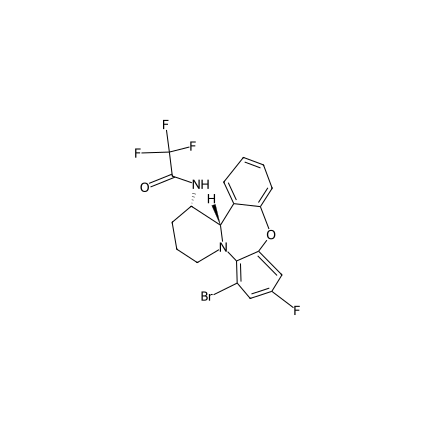 O=C(N[C@H]1CCCN2c3c(Br)cc(F)cc3Oc3ccccc3[C@@H]12)C(F)(F)F